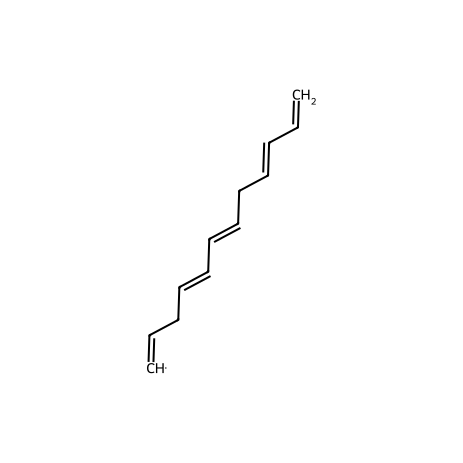 [CH]=CCC=CC=CCC=CC=C